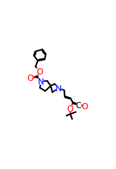 CC(C)(C)OC(=C=O)/C=C/CN1CC2(CCN(C(=O)OCc3ccccc3)C2)C1